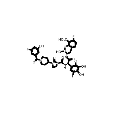 O=C(O)c1c(F)ccc2c1OB(O)[C@@H](NC(=O)[C@H](NC(=O)N1CCN(C3CCN(C(=O)c4cc(O)cc(F)c4)CC3)C1=O)c1cc(F)c(O)c(O)c1Cl)C2